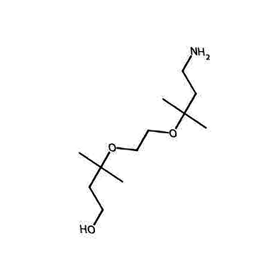 CC(C)(CCN)OCCOC(C)(C)CCO